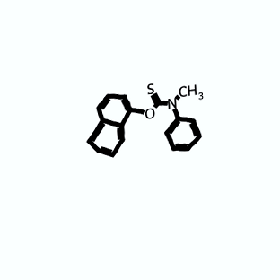 CN(C(=S)Oc1cccc2ccccc12)c1ccccc1